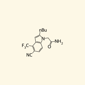 CCCCc1cc2c(C(F)(F)F)c(C#N)ccc2n1CC(N)=O